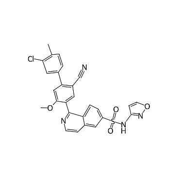 COc1cc(-c2ccc(C)c(Cl)c2)c(C#N)cc1-c1nccc2cc(S(=O)(=O)Nc3ccon3)ccc12